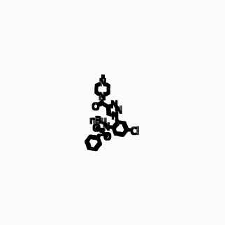 CCCCN(c1ccc(Cl)cc1-n1cc(C(=O)N2CCN(C)CC2)nn1)S(=O)(=O)c1ccccc1